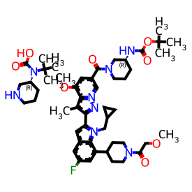 CC(C)(C)N(C(=O)O)[C@@H]1CCCNC1.COCC(=O)N1CCC(c2cc(F)cc3cc(-c4nn5cc(C(=O)N6CCC[C@@H](NC(=O)OC(C)(C)C)C6)cc(OC)c5c4C)n(CC4CC4)c23)CC1